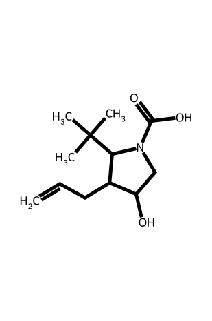 C=CCC1C(O)CN(C(=O)O)C1C(C)(C)C